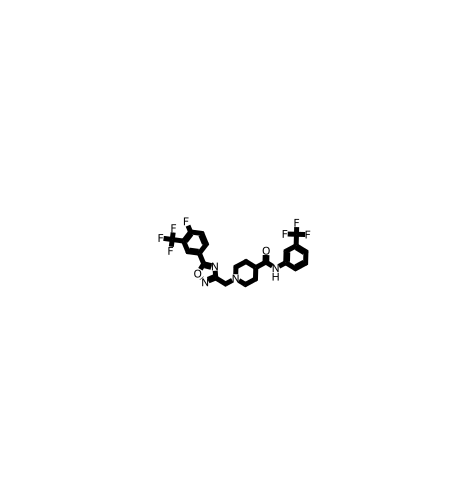 O=C(Nc1cccc(C(F)(F)F)c1)C1CCN(Cc2noc(-c3ccc(F)c(C(F)(F)F)c3)n2)CC1